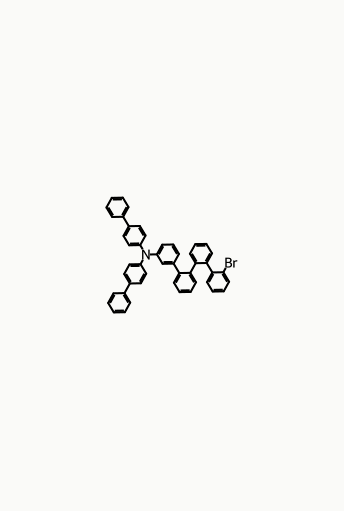 Brc1ccccc1-c1ccccc1-c1ccccc1-c1cccc(N(c2ccc(-c3ccccc3)cc2)c2ccc(-c3ccccc3)cc2)c1